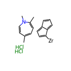 CC1=CC=C(C)N(C)C=C1.Cl.Cl.[Zr][C]1=CC=C2C=CC=C12